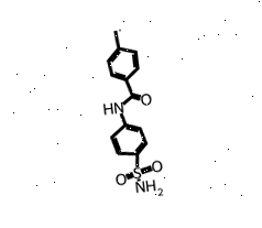 [CH2]c1ccc(C(=O)Nc2ccc(S(N)(=O)=O)cc2)cc1